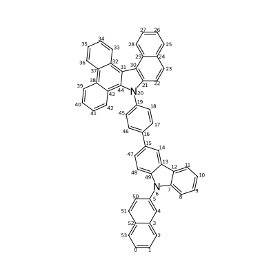 c1ccc2cc(-n3c4ccccc4c4cc(-c5ccc(-n6c7ccc8ccccc8c7c7c8ccccc8c8ccccc8c76)cc5)ccc43)ccc2c1